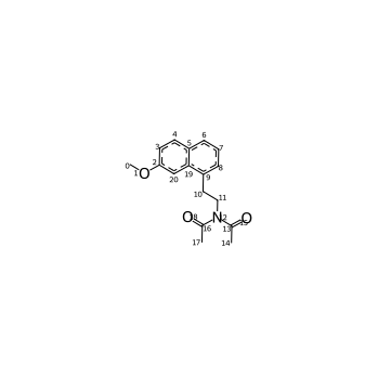 COc1ccc2cccc(CCN(C(C)=O)C(C)=O)c2c1